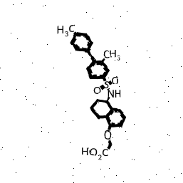 Cc1ccc(-c2ccc(S(=O)(=O)N[C@@H]3CCCc4c(OCC(=O)O)cccc43)cc2C)cc1